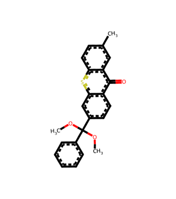 COC(OC)(c1ccccc1)c1ccc2c(=O)c3cc(C)ccc3sc2c1